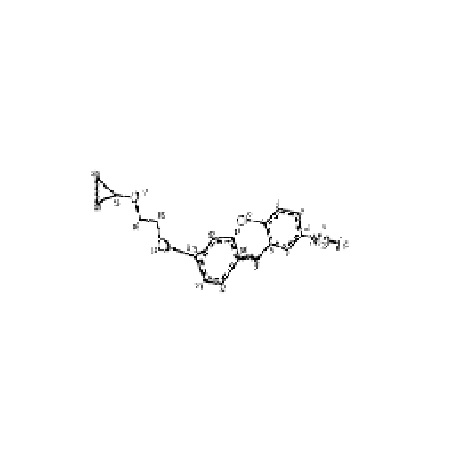 Clc1cc[c]([Mg][I])cc1Cc1ccc(OCCOC2CC2)cc1